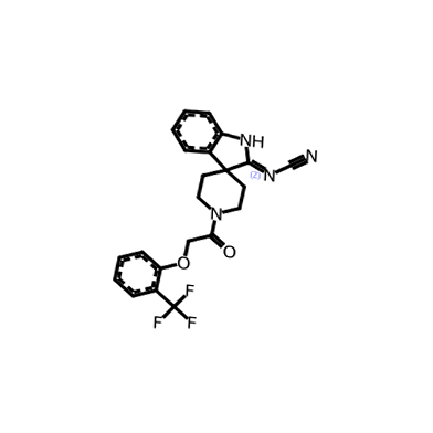 N#C/N=C1\Nc2ccccc2C12CCN(C(=O)COc1ccccc1C(F)(F)F)CC2